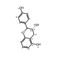 Oc1ccc(C2Oc3cccc(O)c3C[C@H]2S)cc1